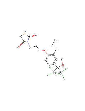 CCCc1c(OCCCN2C(=O)CSC2=O)ccc2c1COC2(C(F)(F)F)C(F)(F)F